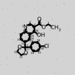 CCOC(=O)c1cnc2ccc(C3(c4ccc(Cl)cc4)OCCO3)cc2c1O